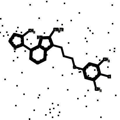 CCOC(=O)c1[nH]c2c(-c3sccc3C)cccc2c1CCCOc1cc(C)c(Cl)c(C)c1